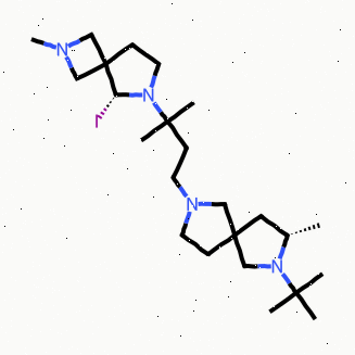 C[C@H]1CC2(CCN(CCC(C)(C)N3CCC4(CN(C)C4)[C@H]3I)C2)CN1C(C)(C)C